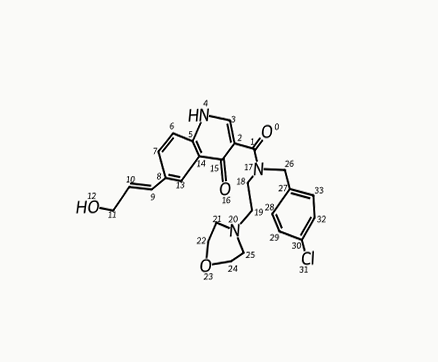 O=C(c1c[nH]c2ccc(C=CCO)cc2c1=O)N(CCN1CCOCC1)Cc1ccc(Cl)cc1